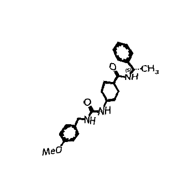 COc1ccc(CNC(=O)NC2CCC(C(=O)N[C@@H](C)c3ccccc3)CC2)cc1